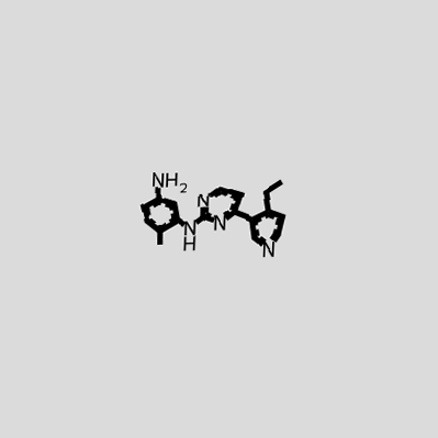 CCc1ccncc1-c1ccnc(Nc2cc(N)ccc2C)n1